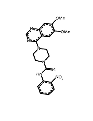 COc1cc2ncnc(N3CCN(C(=S)Nc4ccccc4[N+](=O)[O-])CC3)c2cc1OC